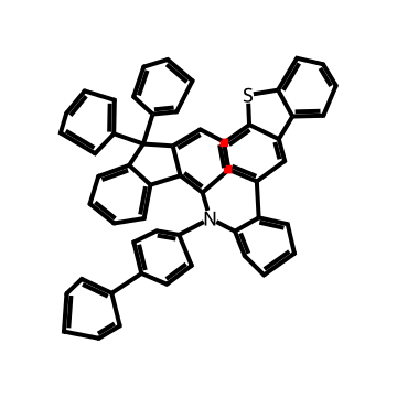 c1ccc(-c2ccc(N(c3ccccc3-c3ccc4sc5ccccc5c4c3)c3cccc4c3-c3ccccc3C4(c3ccccc3)c3ccccc3)cc2)cc1